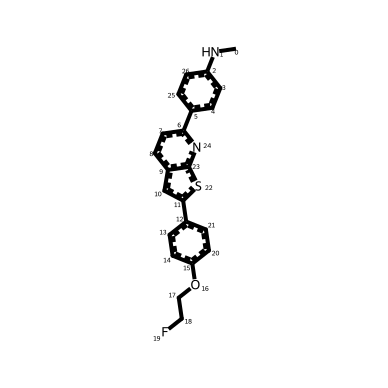 CNc1ccc(-c2ccc3cc(-c4ccc(OCCF)cc4)sc3n2)cc1